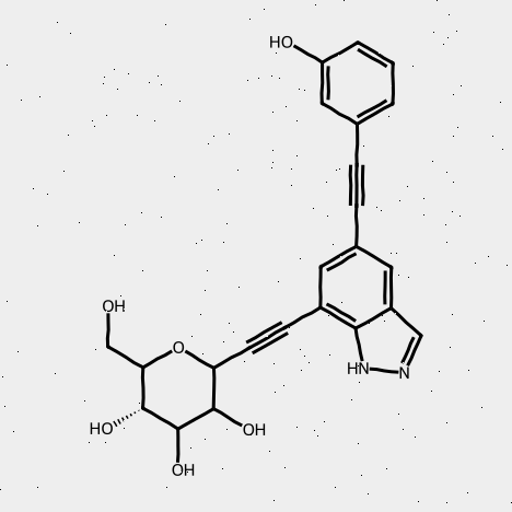 OCC1OC(C#Cc2cc(C#Cc3cccc(O)c3)cc3cn[nH]c23)C(O)C(O)[C@@H]1O